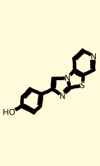 Oc1ccc(-c2cn3c(n2)sc2cnccc23)cc1